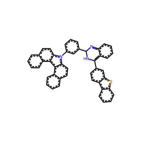 c1cc(C2N=c3ccccc3=C(c3ccc4c(c3)sc3ccccc34)N2)cc(-n2c3ccc4ccccc4c3c3c4ccccc4ccc32)c1